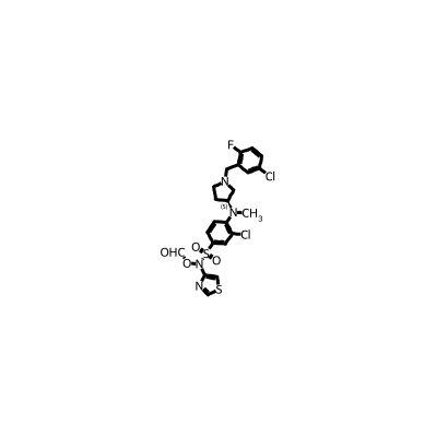 CN(c1ccc(S(=O)(=O)N(OC=O)c2cscn2)cc1Cl)[C@H]1CCN(Cc2cc(Cl)ccc2F)C1